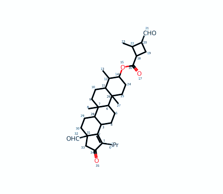 CC(C)C1=C2C3CCC4C(C)(CCC5C(C)C(OC(=O)C6CC(C=O)C6C)CCC54C)C3CCC2(C=O)CC1=O